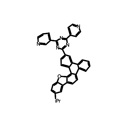 CC(C)c1ccc2oc3c(ccc4c5ccccc5c5cc(-c6nc(-c7ccncc7)nc(-c7cccnc7)n6)ccc5c43)c2c1